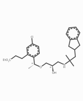 CCOC(=O)CCc1cc(Cl)ccc1[C@@H](C)OC[C@H](O)CNC(C)(C)CC1Cc2ccccc2C1